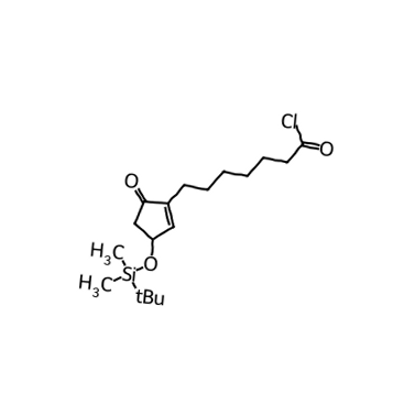 CC(C)(C)[Si](C)(C)OC1C=C(CCCCCCC(=O)Cl)C(=O)C1